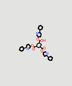 O=C(Oc1ccc(-c2ccccc2)nc1)C1CC(C(=O)Oc2ccc(-c3ccccc3)nc2)CC(C(O)Oc2ccc(-c3ccccc3)nc2)C1